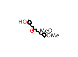 COc1ccc(C=CC=CC(=O)C=Cc2cccc(O)c2)c(OC)c1